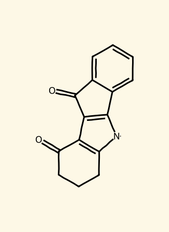 O=C1CCCC2=C1C1=C([N]2)c2ccccc2C1=O